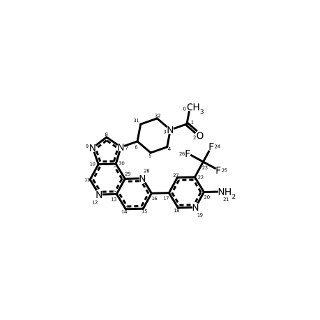 CC(=O)N1CCC(n2cnc3cnc4ccc(-c5cnc(N)c(C(F)(F)F)c5)nc4c32)CC1